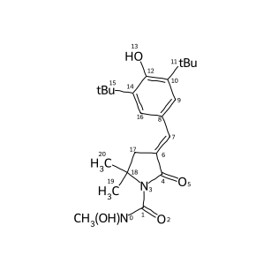 CN(O)C(=O)N1C(=O)C(=Cc2cc(C(C)(C)C)c(O)c(C(C)(C)C)c2)CC1(C)C